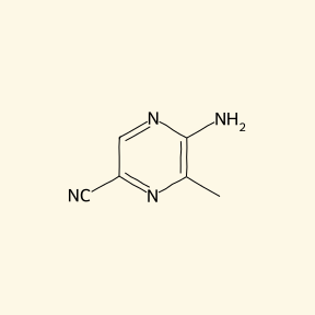 Cc1nc(C#N)cnc1N